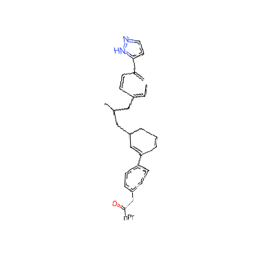 C=C(/C=C\C(=C/C)CC(C)CC1C=C(c2ccc(CC(=O)CCC)cc2)C=CC1)c1ccn[nH]1